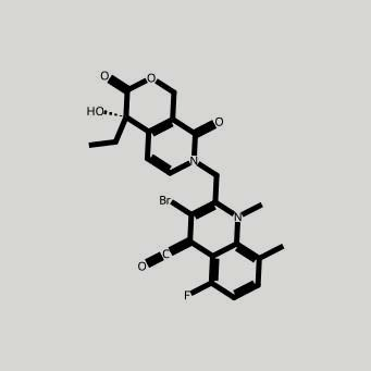 CC[C@@]1(O)C(=O)OCc2c1ccn(CC1=C(Br)C(=C=O)c3c(F)ccc(C)c3N1C)c2=O